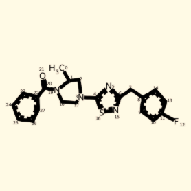 CC1CN(c2nc(Cc3ccc(F)cc3)ns2)CCN1C(=O)c1ccccc1